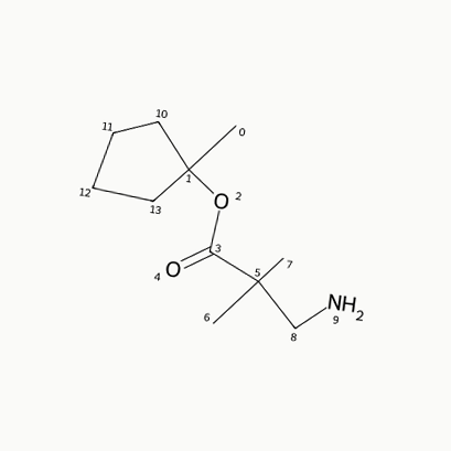 CC1(OC(=O)C(C)(C)CN)CCCC1